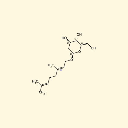 CC(C)=CCC/C(C)=C/CO[C@H]1C[C@@H](O)[C@H](O)[C@@H](CO)O1